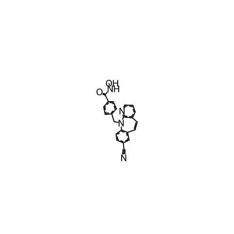 N#Cc1ccc2c(c1)C=Cc1cccnc1N2Cc1ccc(C(=O)NO)cc1